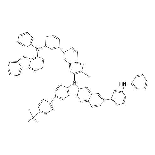 Cc1cc2ccc(-c3cccc(N(c4ccccc4)c4cccc5c4sc4ccccc45)c3)cc2cc1N1c2ccc(-c3ccc(C(C)(C)C)cc3)cc2C2C=c3ccc(-c4cccc(Nc5ccccc5)c4)cc3=CC21